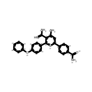 N=C(N)c1c(N)cc(-c2ccc(C(N)=O)cc2)nc1-c1ccc(Oc2ccccc2)cc1